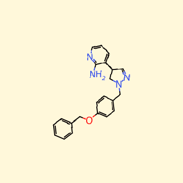 Nc1ncccc1C1C=NN(Cc2ccc(OCc3ccccc3)cc2)C1